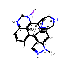 Cc1ccc2c(c1-c1cccc3c1cnn3C(F)(F)F)=C(C1CC3CNCC1N3C(=O)O)N(I)CN=2